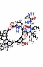 CCn1c(-c2cccnc2[C@H](C)OC)c2c3cc(ccc31)-c1cc(O)cc(c1)C[C@H](NC(=O)[C@H](C(C)C)N(C)C(=O)CNC(=O)[C@H]1CN1)C(=O)N1CCC[C@H](N1)C(=O)OCC(C)(C)C2